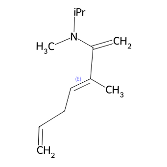 C=CC/C=C(\C)C(=C)N(C)C(C)C